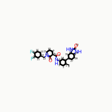 Cc1ccc(NC(=O)c2cccn(Cc3ccc(F)c(F)c3)c2=O)cc1-c1ccc2[nH]c(=O)[nH]c2c1